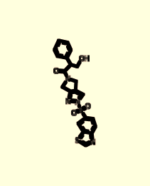 O=C(C(CO)c1ccccc1)N1Cc2cn(S(=O)(=O)c3ccc4ncsc4c3)nc2C1